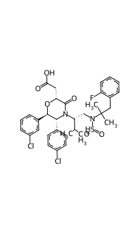 CC(C)[C@@H](CN([SH](=O)=O)C(C)(C)Cc1ccccc1F)N1C(=O)[C@@H](CC(=O)O)O[C@H](c2cccc(Cl)c2)[C@H]1c1ccc(Cl)cc1